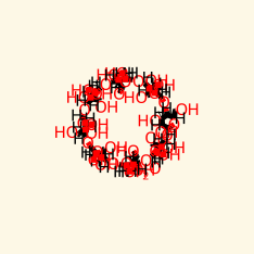 O.OC[C@H]1O[C@@H]2O[C@H]3[C@H](O)[C@@H](O)[C@@H](O[C@H]4[C@H](O)[C@@H](O)[C@@H](O[C@H]5[C@H](O)[C@@H](O)[C@@H](O[C@H]6[C@H](O)[C@@H](O)[C@@H](O[C@H]7[C@H](O)[C@@H](O)[C@@H](O[C@H]8[C@H](O)[C@@H](O)[C@@H](O[C@H]9[C@H](O)[C@@H](O)[C@@H](O[C@H]1[C@H](O)[C@H]2O)O[C@@H]9CO)O[C@@H]8CO)O[C@@H]7CO)O[C@@H]6CO)O[C@@H]5CO)O[C@@H]4CO)O[C@@H]3CO